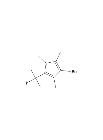 Cc1c(C(C)(C)C)c(C)n(C)c1C(C)(C)I